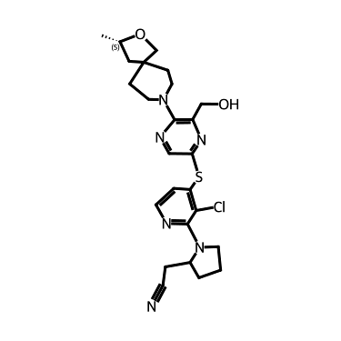 C[C@H]1CC2(CCN(c3ncc(Sc4ccnc(N5CCCC5CC#N)c4Cl)nc3CO)CC2)CO1